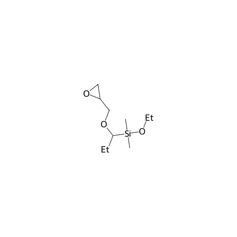 CCO[Si](C)(C)C(CC)OCC1CO1